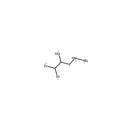 CCC(CC)C(O)CNC(C)(C)C